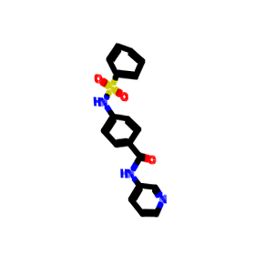 O=C(Nc1cccnc1)c1ccc(NS(=O)(=O)c2ccccc2)cc1